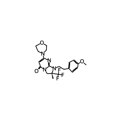 COc1ccc(CCN2c3nc(N4CCOCC4)cc(=O)n3C[C@@]2(C)C(F)(F)F)cc1